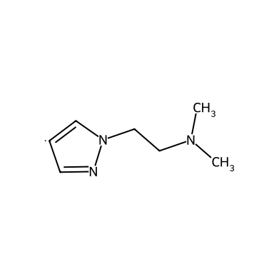 CN(C)CCn1c[c]cn1